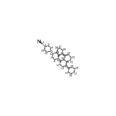 N#Cc1ccc(-c2ccc3c4ccc(-c5ccccc5)c5cccc(c6cccc2c63)c54)cc1